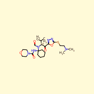 CC(C)[C@@H](C(=O)c1nnc(SCCN(C)C)o1)N(C=O)C1(NC(=O)N2CCOCC2)CCCCC1